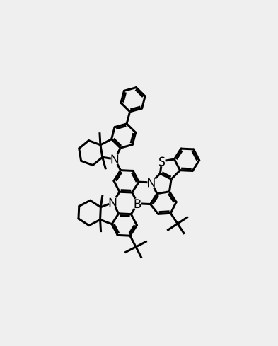 CC(C)(C)c1cc2c3c(c1)C1(C)CCCCC1(C)N3c1cc(N3c4ccc(-c5ccccc5)cc4C4(C)CCCCC34C)cc3c1B2c1cc(C(C)(C)C)cc2c4c5ccccc5sc4n-3c12